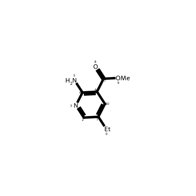 CCc1cnc(N)c(C(=O)OC)c1